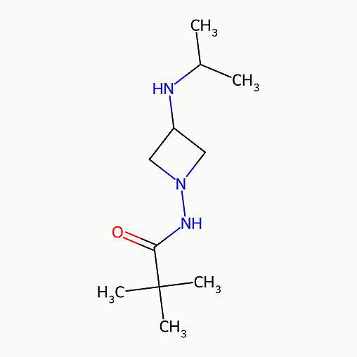 CC(C)NC1CN(NC(=O)C(C)(C)C)C1